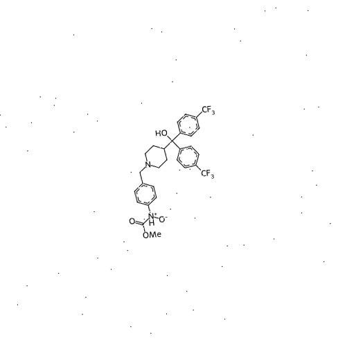 COC(=O)[NH+]([O-])c1ccc(CN2CCC(C(O)(c3ccc(C(F)(F)F)cc3)c3ccc(C(F)(F)F)cc3)CC2)cc1